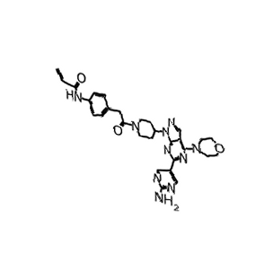 C=CC(=O)Nc1ccc(CC(=O)N2CCC(n3ncc4c(N5CCOCC5)nc(-c5cnc(N)nc5)nc43)CC2)cc1